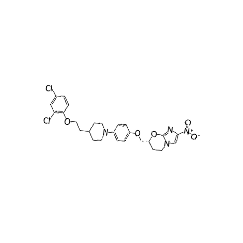 O=[N+]([O-])c1cn2c(n1)O[C@@H](COc1ccc(N3CCC(CCOc4ccc(Cl)cc4Cl)CC3)cc1)CC2